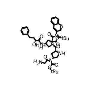 CC(C)(C)OC(=O)N(C(=O)CN)C1CN[C@H](C(=O)N2C[C@H](NC(=O)[C@H](O)CCc3ccccc3)C[C@]2(C(=O)Nc2cnc3ccccc3c2)C(=O)OC(C)(C)C)C1